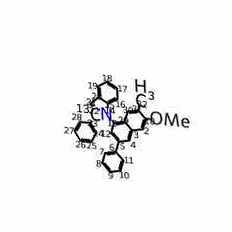 COc1cc2cc(-c3ccccc3)cc(-n3c4ccccc4c[13c]3-c3ccccc3)c2cc1C